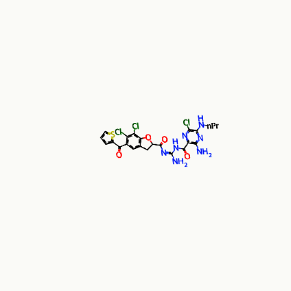 CCCNc1nc(N)c(C(=O)NC(N)=NC(=O)C2Cc3cc(C(=O)c4cccs4)c(Cl)c(Cl)c3O2)nc1Cl